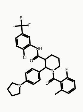 Cc1cccc(F)c1C(=O)N1CCCC(C(=O)Nc2cc(C(F)(F)F)ccc2Cl)C1c1ccc(N2CCCC2)cc1